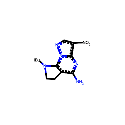 CCC(C)N1CCc2c(N)nc3c([N+](=O)[O-])cnn3c21